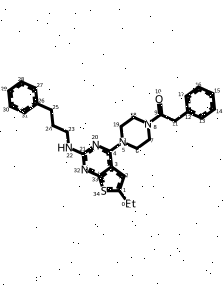 CCc1cc2c(N3CCN(C(=O)Cc4ccccc4)CC3)nc(NCCCc3ccccc3)nc2s1